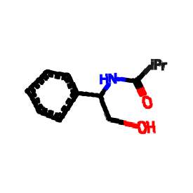 CC(C)C(=O)NC(CO)c1ccccc1